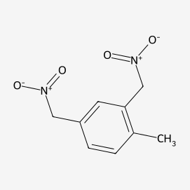 Cc1ccc(C[N+](=O)[O-])cc1C[N+](=O)[O-]